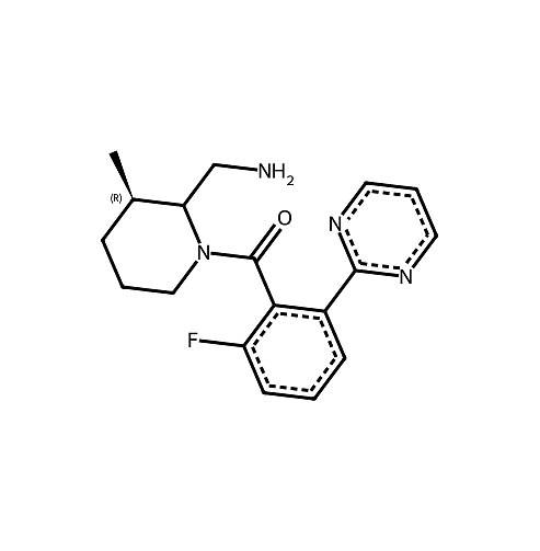 C[C@@H]1CCCN(C(=O)c2c(F)cccc2-c2ncccn2)C1CN